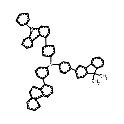 CC1(C)c2ccccc2-c2cc(-c3ccc(N(c4ccc(-c5cccc6c5c5ccccc5n6-c5ccccc5)cc4)c4cccc(-c5cccc6c5ccc5ccccc56)c4)cc3)ccc21